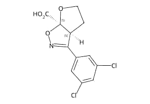 O=C(O)[C@]12OCC[C@H]1C(c1cc(Cl)cc(Cl)c1)=NO2